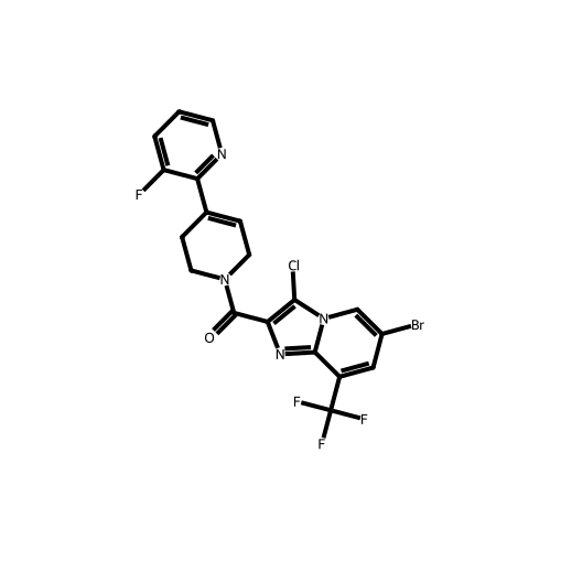 O=C(c1nc2c(C(F)(F)F)cc(Br)cn2c1Cl)N1CC=C(c2ncccc2F)CC1